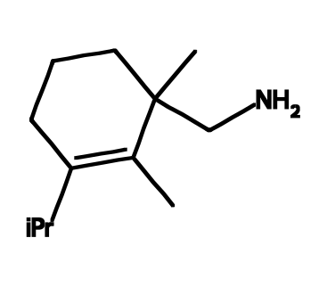 CC1=C(C(C)C)CCCC1(C)CN